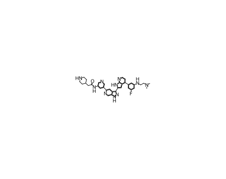 CN(C)CCNc1cc(F)cc(-c2ccnc3[nH]c(-c4n[nH]c5cnc(-c6cncc(NC(=O)CC7CCNCC7)c6)cc45)cc23)c1